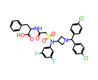 O=C(CS(=O)(=O)N(c1cc(F)cc(F)c1)C1CN(C(c2ccc(Cl)cc2)c2ccc(Cl)cc2)C1)NC(Cc1ccccc1)C(=O)O